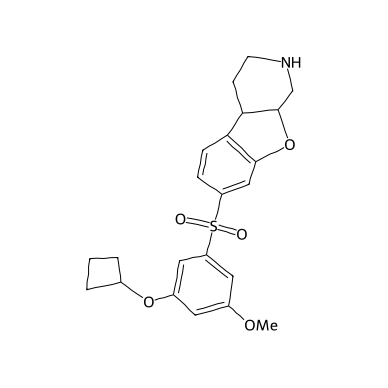 COc1cc(OC2CCC2)cc(S(=O)(=O)c2ccc3c(c2)OC2CNCCC32)c1